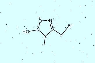 CC1C(CBr)=NON1O